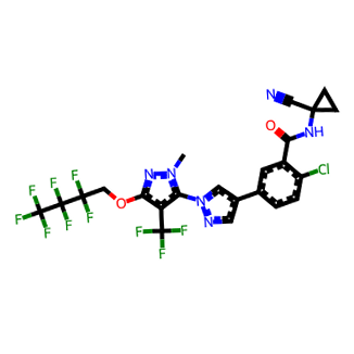 Cn1nc(OCC(F)(F)C(F)(F)C(F)(F)F)c(C(F)(F)F)c1-n1cc(-c2ccc(Cl)c(C(=O)NC3(C#N)CC3)c2)cn1